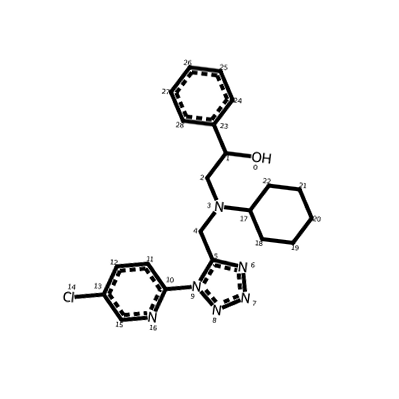 OC(CN(Cc1nnnn1-c1ccc(Cl)cn1)C1CCCCC1)c1ccccc1